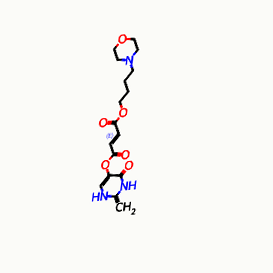 C=C1NC=C(OC(=O)/C=C/C(=O)OCCCCN2CCOCC2)C(=O)N1